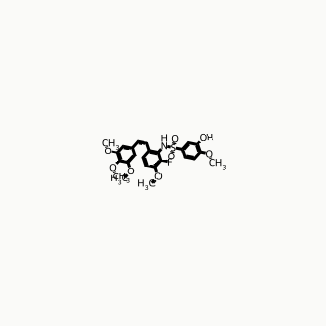 COc1ccc(S(=O)(=O)Nc2c(/C=C\c3cc(OC)c(OC)c(OC)c3)ccc(OC)c2F)cc1O